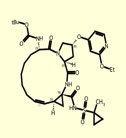 CCOc1cc(O[C@@H]2C[C@H]3C(=O)N[C@]4(C(=O)NS(=O)(=O)C5(C)CC5)C[C@H]4/C=C\CCCCC[C@H](NC(=O)OC(C)(C)C)C(=O)N3C2)ccn1